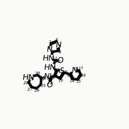 O=C(Nc1cnccn1)Nc1sc(-c2ccccn2)cc1C(=O)N[C@H]1CCCCNC1